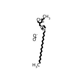 CCCCCCCCCCCCCCCCCCn1cc[n+](CC(CC)CCCC)c1.O=C[O-]